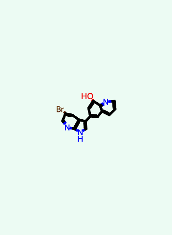 Oc1cc(-c2c[nH]c3ncc(Br)cc23)cc2cccnc12